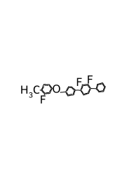 Cc1ccc(OCc2ccc(-c3ccc(-c4ccccc4)c(F)c3F)cc2)cc1F